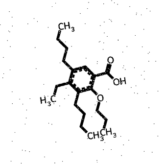 CCCCc1cc(C(=O)O)c(OCCC)c(CCCC)c1CC